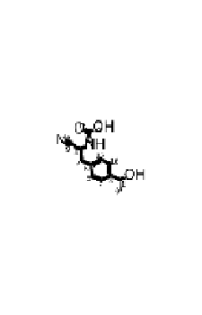 C[C@H](O)c1ccc(CC(C#N)NC(=O)O)cc1